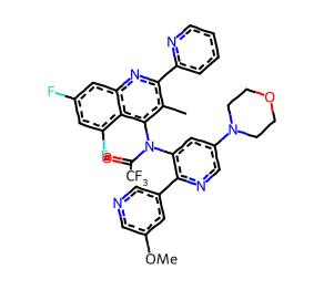 COc1cncc(-c2ncc(N3CCOCC3)cc2N(C(=O)C(F)(F)F)c2c(C)c(-c3ccccn3)nc3cc(F)cc(F)c23)c1